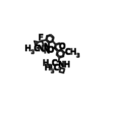 Cc1cc(C(C)NC2(C)CCC2)cc2c(=O)c(-c3cccc(C(F)(c4nncn4C)C4CC4)c3)coc12